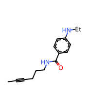 CC#CCCCNC(=O)c1ccc(NCC)cc1